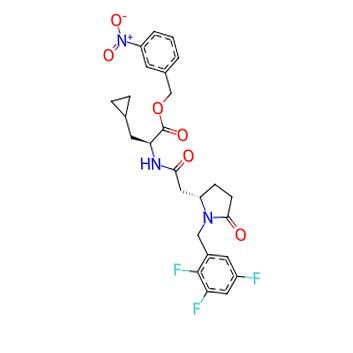 O=C(C[C@@H]1CCC(=O)N1Cc1cc(F)cc(F)c1F)N[C@@H](CC1CC1)C(=O)OCc1cccc([N+](=O)[O-])c1